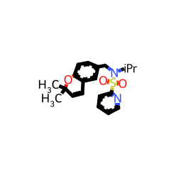 CC(C)N(Cc1ccc2c(c1)C=CC(C)(C)O2)S(=O)(=O)c1ccccn1